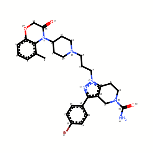 Cc1cccc2c1N(C1CCN(CCCn3nc(-c4ccc(Br)cc4)c4c3CCN(C(N)=O)C4)CC1)C(=O)CO2